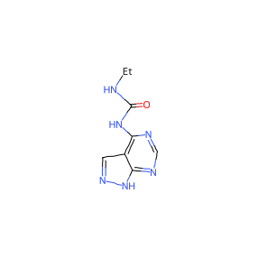 CCNC(=O)Nc1ncnc2[nH]ncc12